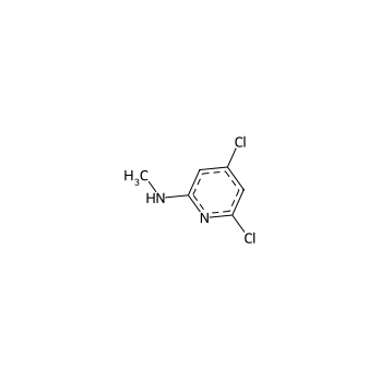 CNc1cc(Cl)cc(Cl)n1